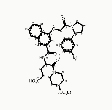 CCOC(=O)N1CCN(C(=O)C(CCC(=O)O)NC(=O)c2cc(OCC(=O)N3CCC[C@H]3c3cncc(Br)c3)c3ccccc3n2)CC1